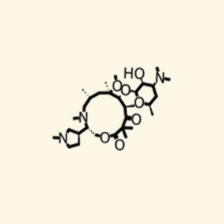 CO[C@]1(C)C[C@@H](C)CN(C)[C@@H]([C@H]2CCN(C)C2)COC(=O)C(C)(C)C(=O)[C@H](C)[C@H]1O[C@@H]1O[C@H](C)C[C@H](N(C)C)[C@H]1O